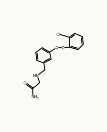 NC(=O)CNCc1cccc(OCc2ccccc2Cl)c1